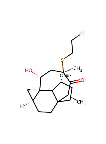 CO[C@@H]1CCC23CC[C@H]4C[C@@]4(C12)[C@H](O)C[C@@](C)(SCCCl)C(=O)[C@@H]3C